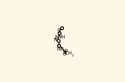 CS(=O)(=O)CCNCc1cccc(-c2ccc3c(Nc4ccc(Oc5ccccc5)cc4)ncnc3c2)c1